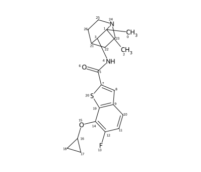 CC1(C)C(NC(=O)c2cc3ccc(F)c(OC4CC4)c3s2)C2CCN1CC2